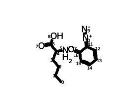 CCCCC(N)C(=O)O.[N-]=[N+]=C1C=CC=CC1=O